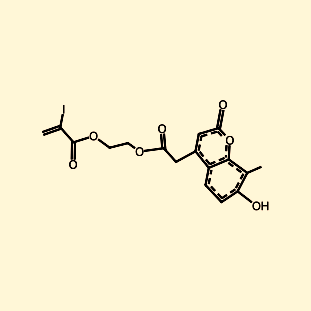 C=C(I)C(=O)OCCOC(=O)Cc1cc(=O)oc2c(C)c(O)ccc12